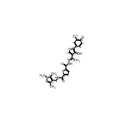 C/C(=N\NC(=O)c1ccc(C(=O)NCc2c(C)nn(C)c2C)s1)c1csc(-c2ccc(Cl)c(Cl)c2)c1O